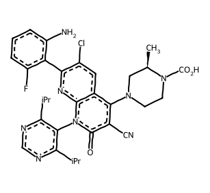 CC(C)c1ncnc(C(C)C)c1-n1c(=O)c(C#N)c(N2CCN(C(=O)O)[C@H](C)C2)c2cc(Cl)c(-c3c(N)cccc3F)nc21